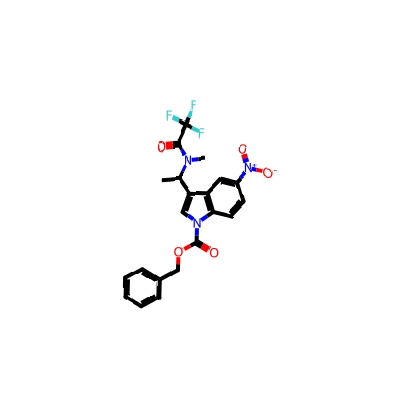 CC(c1cn(C(=O)OCc2ccccc2)c2ccc([N+](=O)[O-])cc12)N(C)C(=O)C(F)(F)F